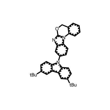 CC(C)(C)c1ccc2c(c1)c1cc(C(C)(C)C)ccc1n2-c1ccc2c(c1)nc1n2-c2ccccc2CO1